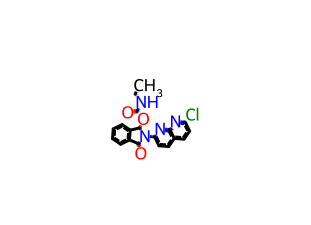 CCNC(=O)OC1c2ccccc2C(=O)N1c1ccc2ccc(Cl)nc2n1